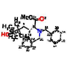 COC(=O)[C@@H](CCC(C)(C)[Si](C)(C)O)N(Cc1ccccc1)Cc1ccccc1